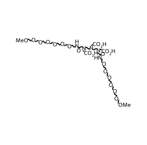 COCCOCCOCCOCCOCCOCCOCCNC(=O)CN(CCN(CCN(CC(=O)O)CC(=O)NCCOCCOCCOCCOCCOCCOCCOC)CC(=O)O)CC(=O)O